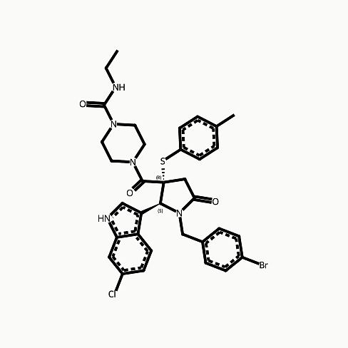 CCNC(=O)N1CCN(C(=O)[C@@]2(Sc3ccc(C)cc3)CC(=O)N(Cc3ccc(Br)cc3)[C@H]2c2c[nH]c3cc(Cl)ccc23)CC1